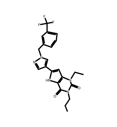 CCCn1c(=O)c2[nH]c(-c3cnn(Cc4cccc(C(F)(F)F)c4)c3)cc2n(CC)c1=O